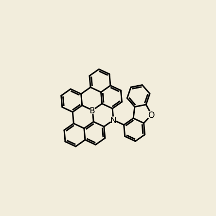 c1cc2c3c(c1)-c1cccc4ccc5c(c14)B3c1c(ccc3cccc-2c13)N5c1cccc2oc3ccccc3c12